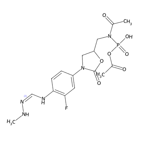 CN/N=C\Nc1ccc(N2CC(CN(C(C)=O)P(=O)(O)OC(C)=O)OC2=O)cc1F